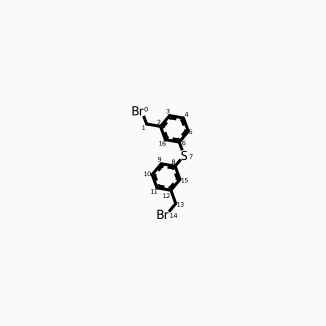 BrCc1cccc(Sc2cccc(CBr)c2)c1